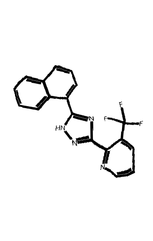 FC(F)(F)c1cccnc1-c1n[nH]c(-c2cccc3ccccc23)n1